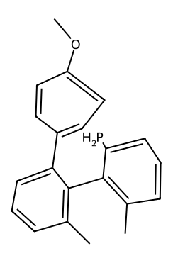 COc1ccc(-c2cccc(C)c2-c2c(C)cccc2P)cc1